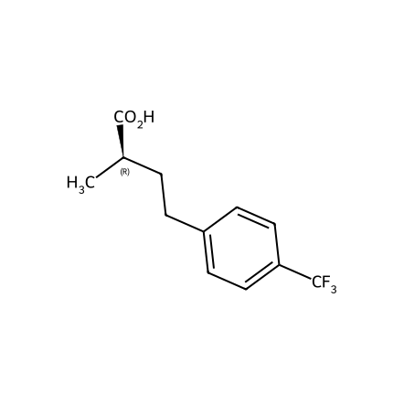 C[C@H](CCc1ccc(C(F)(F)F)cc1)C(=O)O